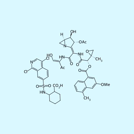 COc1cc(C(=O)O[C@H](C(=O)N/C(C(=O)N/C(=C\O)C(C)=O)=C2\[C@@H](OC(C)=O)[C@H](O)[C@@H]3CN23)[C@]2(C)CO2)c2cccc(C)c2c1.O=C(O)C1CCCCC1NS(=O)(=O)c1ccc2c(Cl)cnc(Cl)c2c1